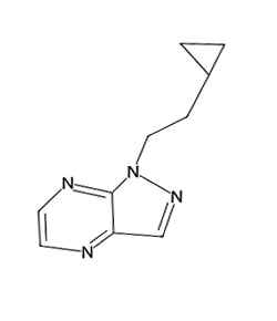 c1cnc2c(cnn2CCC2CC2)n1